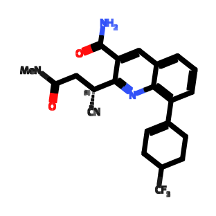 CNC(=O)C[C@@H](C#N)c1nc2c(C3=CCC(C(F)(F)F)CC3)cccc2cc1C(N)=O